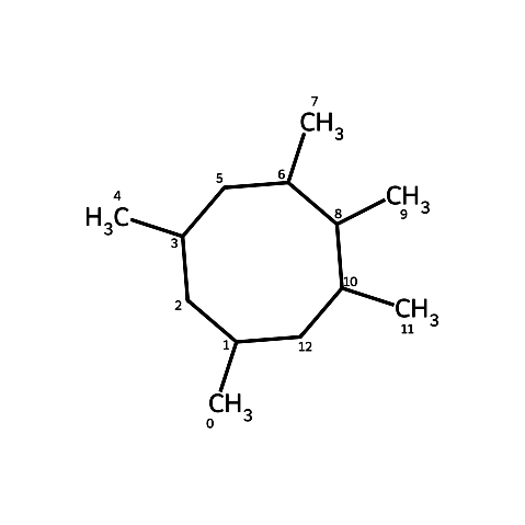 CC1CC(C)CC(C)C(C)C(C)C1